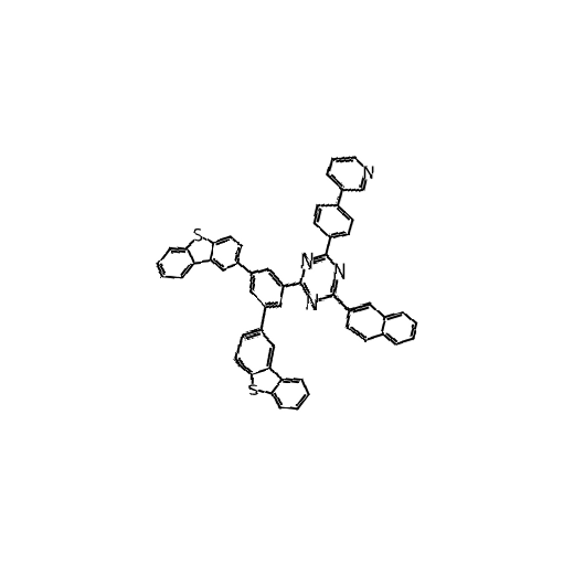 c1cncc(-c2ccc(-c3nc(-c4cc(-c5ccc6sc7ccccc7c6c5)cc(-c5ccc6sc7ccccc7c6c5)c4)nc(-c4ccc5ccccc5c4)n3)cc2)c1